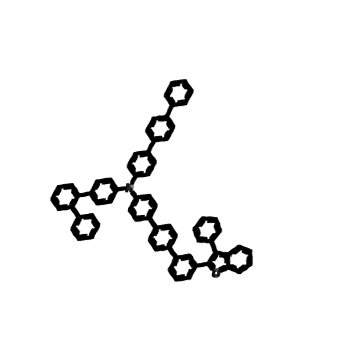 c1ccc(-c2ccc(-c3ccc(N(c4ccc(-c5ccc(-c6cccc(-c7oc8ccccc8c7-c7ccccc7)c6)cc5)cc4)c4ccc(-c5ccccc5-c5ccccc5)cc4)cc3)cc2)cc1